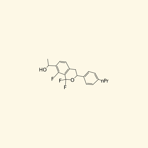 CCCc1ccc(C2Cc3ccc(C(C)O)c(F)c3C(F)(F)O2)cc1